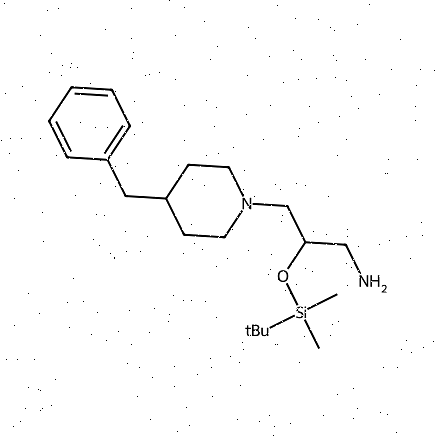 CC(C)(C)[Si](C)(C)OC(CN)CN1CCC(Cc2ccccc2)CC1